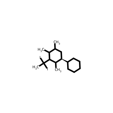 CC1C[C@@H](C2CCCCC2)C(C)C(C(C)(I)I)C1C